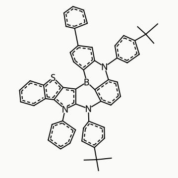 CC(C)(C)c1ccc(N2c3cc(-c4ccccc4)ccc3B3c4c2cccc4N(c2ccc(C(C)(C)C)cc2)c2c3c3sc4ccccc4c3n2-c2ccccc2)cc1